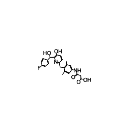 Cc1cc(NC(=O)CC(=O)O)cc(C)c1Cc1ccc(O)c(C(O)c2ccc(F)cc2)n1